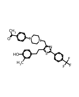 CC(=O)c1ccc(N2CCN(Cc3nc(-c4ccc(C(F)(F)F)cc4)sc3CCc3ccc(O)c(C)c3)CC2)cc1